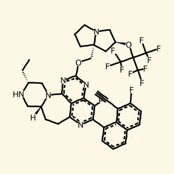 C#Cc1c(F)ccc2cccc(-c3nc4c5c(nc(OC[C@]67CCCN6C[C@@H](OC(C(F)(F)F)(C(F)(F)F)C(F)(F)F)C7)nc5c3F)N3C[C@@H](CC)NC[C@H]3CC4)c12